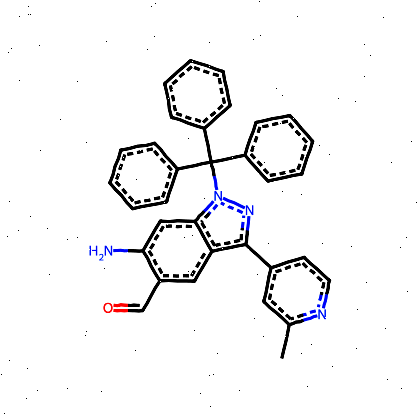 Cc1cc(-c2nn(C(c3ccccc3)(c3ccccc3)c3ccccc3)c3cc(N)c(C=O)cc23)ccn1